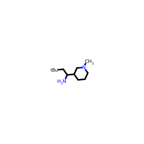 CN1CCCC(C(N)CC(C)(C)C)C1